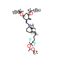 C=C1/C(=C\C=C2/CCC[C@]3(C)[C@@H]([C@H](C)CCC(F)(F)C(C)(C)OC(C)OCC)CC[C@@H]23)C[C@@H](O[Si](C)(C)C(C)(C)C)C[C@@H]1O[Si](C)(C)C(C)(C)C